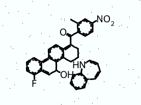 C1=CNc2ccccc2C=C1.Cc1cc([N+](=O)[O-])ccc1C(=O)C1=c2ccc3c(c2CCC1)C(O)C=c1c(F)cccc1=3